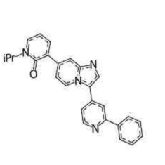 CC(C)n1cccc(-c2ccn3c(-c4ccnc(-c5ccccc5)c4)cnc3c2)c1=O